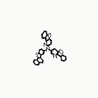 c1ccc2c(c1)ccc1c3cc(N(c4cnc5c(c4)oc4ccccc45)c4ccc5oc6ccccc6c5n4)ccc3sc21